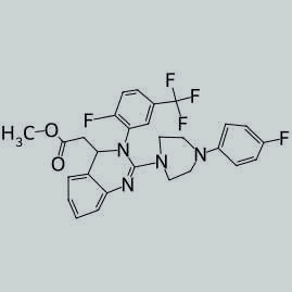 COC(=O)CC1c2ccccc2N=C(N2CCN(c3ccc(F)cc3)CC2)N1c1cc(C(F)(F)F)ccc1F